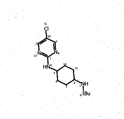 CC(C)(C)NC1CCC(Nc2ncc(Cl)cn2)CC1